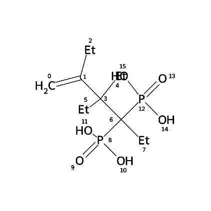 C=C(CC)C(CC)(CC)C(CC)(P(=O)(O)O)P(=O)(O)O